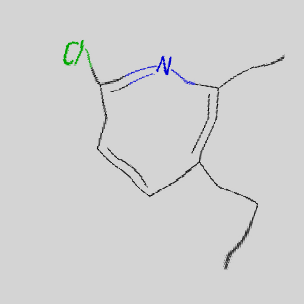 CCc1ccc(Cl)nc1C